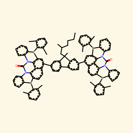 CCCCC(C)CC1(C)c2cc(-c3cc4c5c6c7c(ccc36)B(c3c(C)cccc3C)c3ccccc3N7C(=O)N5c3ccccc3B4c3c(C)cccc3C)ccc2-c2ccc(-c3cc4c5c6c7c(ccc36)B(c3c(C)cccc3C)c3ccccc3N7C(=O)N5c3ccccc3B4c3c(C)cccc3C)cc21